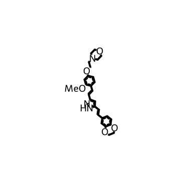 COc1cc(OCCN2CCOCC2)ccc1C=Cc1cc(/C=C/c2ccc3c(c2)OCCO3)[nH]n1